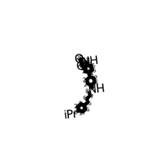 CC(C)c1ccc(CCCCNC2CCC(c3ccc4[nH]c(=O)oc4c3)CC2)cc1